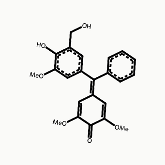 COC1=CC(=C(c2ccccc2)c2cc(CO)c(O)c(OC)c2)C=C(OC)C1=O